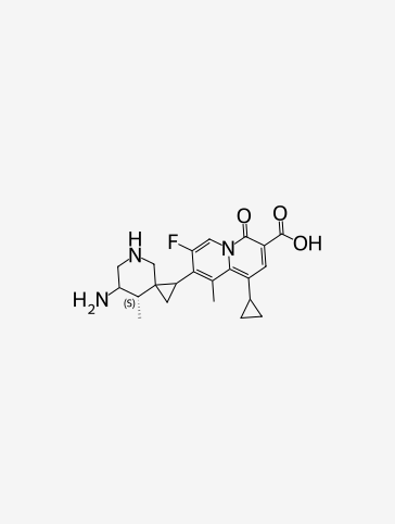 Cc1c(C2CC23CNCC(N)[C@H]3C)c(F)cn2c(=O)c(C(=O)O)cc(C3CC3)c12